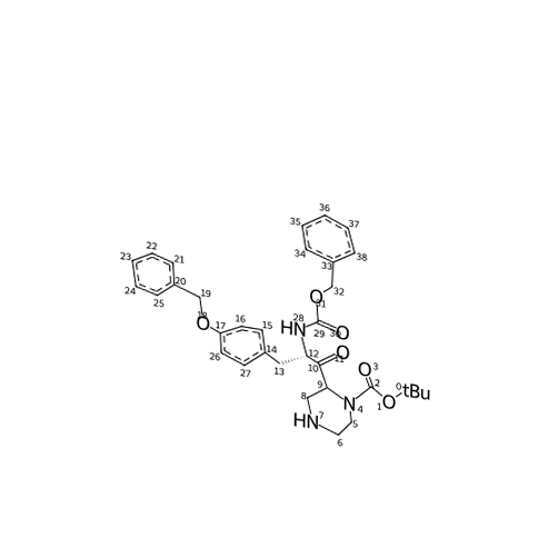 CC(C)(C)OC(=O)N1CCNCC1C(=O)[C@H](Cc1ccc(OCc2ccccc2)cc1)NC(=O)OCc1ccccc1